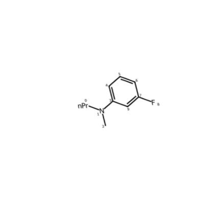 CCCN(C)c1cccc(F)c1